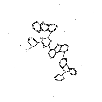 CC1C=CC=C(C2=NC(c3cccc4c3sc3cccc(-c5ccc6c(c5)c5ccccc5n6-c5ccccc5)c34)=NC(c3cccc4oc5ccccc5c34)N2)C1